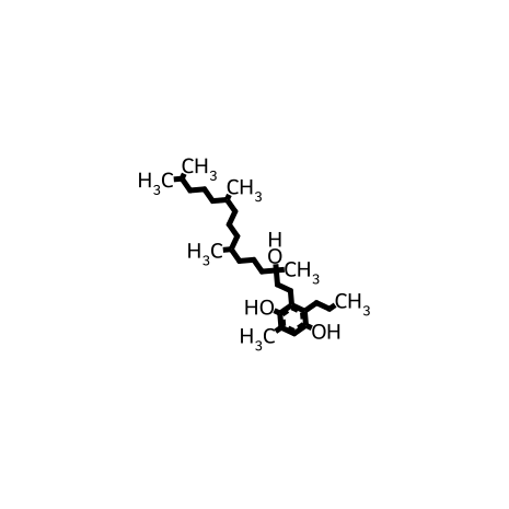 CCCc1c(O)cc(C)c(O)c1CCC(C)(O)CCCC(C)CCCC(C)CCCC(C)C